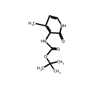 Cc1cc[nH]c(=O)c1NC(=O)OC(C)(C)C